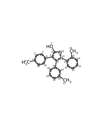 Cc1ccc(-c2c(O)nn(-c3ccccc3C)c2-c2cccc(C)c2)cc1